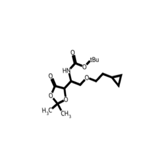 CC(C)(C)OC(=O)NC(COCCC1CC1)C1OC(C)(C)OC1=O